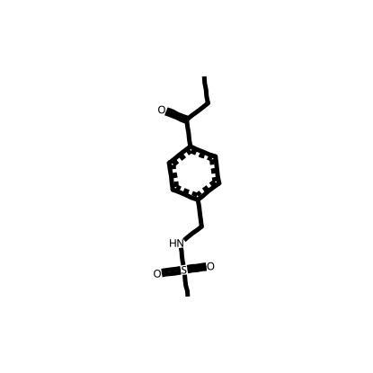 CCC(=O)c1ccc(CNS(C)(=O)=O)cc1